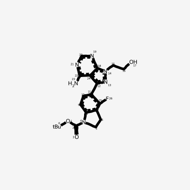 CC(C)(C)OC(=O)N1CCc2c1ccc(-c1nn(CCO)c3ncnc(N)c13)c2F